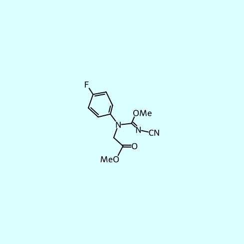 COC(=O)CN(/C(=N/C#N)OC)c1ccc(F)cc1